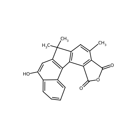 Cc1cc2c(c3c1C(=O)OC3=O)-c1c(cc(O)c3ccccc13)C2(C)C